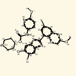 COc1ccc(NC(=O)O[C@H]2CCNC[C@H]2Oc2cc3sc(-c4cc(C)cc5nc(OC)cnc45)nc3cc2F)cn1